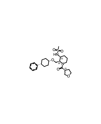 CS(=O)(=O)N[C@H]1CCCN(C(=O)[C@H]2CCOC2)[C@H]1CO[C@H]1CC[C@@H](c2ccccc2)CC1